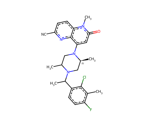 Cc1c(F)ccc(C(C)N2C[C@H](C)N(c3cc(=O)n(C)c4ccc(C#N)nc34)CC2C)c1Cl